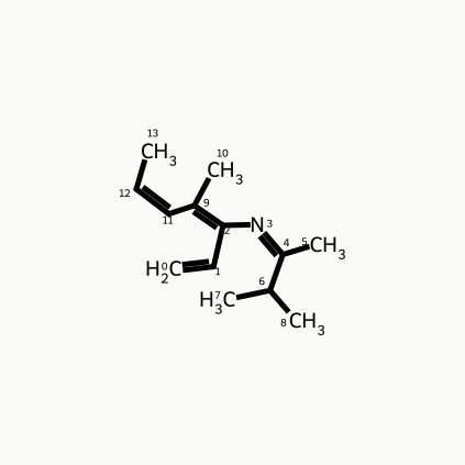 C=CC(/N=C(/C)C(C)C)=C(C)\C=C/C